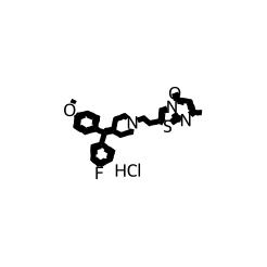 COc1ccc(C(=C2CCN(CCc3cn4c(=O)cc(C)nc4s3)CC2)c2ccc(F)cc2)cc1.Cl